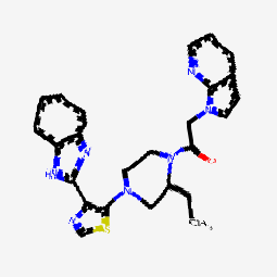 CCC1CN(c2scnc2-c2nc3ccccc3[nH]2)CCN1C(=O)Cn1ccc2cccnc21